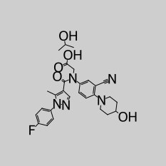 CC(C)O.Cc1c(C(=O)N(CC(=O)O)c2ccc(N3CCC(O)CC3)c(C#N)c2)cnn1-c1ccc(F)cc1